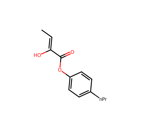 CC=C(O)C(=O)Oc1ccc(CCC)cc1